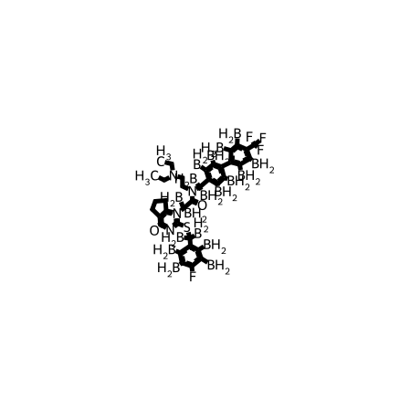 Bc1c(B)c(C(B)(B)Sc2nc(=O)c3c(n2C(B)(B)C(=O)N(CCN(CC)CC)C(B)(B)c2c(B)c(B)c(-c4c(B)c(B)c(C(F)(F)F)c(B)c4B)c(B)c2B)CCC3)c(B)c(B)c1F